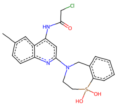 Cc1ccc2nc(N3CCS(O)(O)c4ccccc4C3)cc(NC(=O)CCl)c2c1